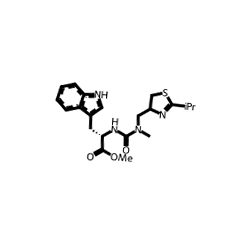 COC(=O)[C@H](Cc1c[nH]c2ccccc12)NC(=O)N(C)CC1CSC(C(C)C)=N1